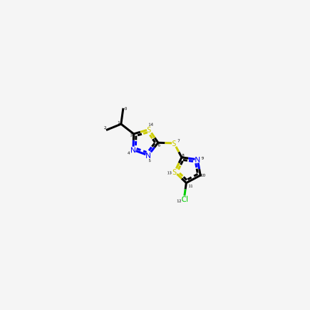 CC(C)c1nnc(Sc2ncc(Cl)s2)s1